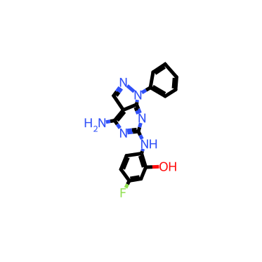 Nc1nc(Nc2ccc(F)cc2O)nc2c1cnn2-c1ccccc1